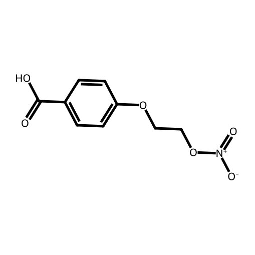 O=C(O)c1ccc(OCCO[N+](=O)[O-])cc1